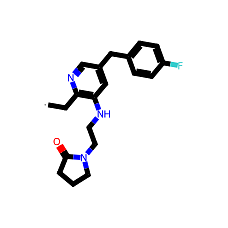 [CH2]Cc1ncc(Cc2ccc(F)cc2)cc1NCCN1CCCC1=O